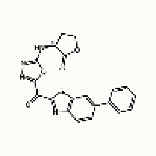 O=C(c1nnc(N[C@H]2CCOC2=O)o1)c1nc2ccc(-c3ccccc3)cc2s1